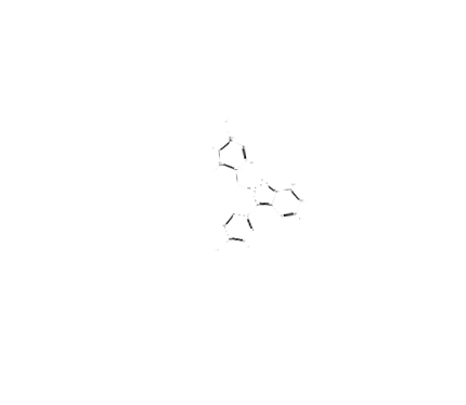 Fc1ccc(-c2c3ccccc3nn2Cc2ccc(F)cc2F)cc1